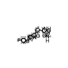 CNS(=O)(=O)c1cc(C2CCCN(C(Cc3ccc(Oc4ccc(F)cc4)cn3)C(N)=O)C2)c[nH]c1=O